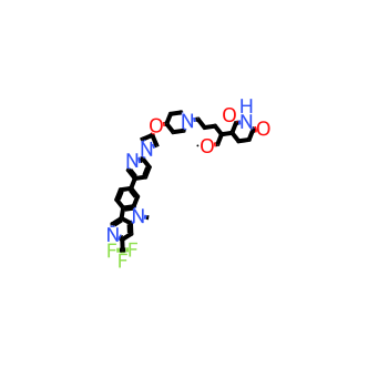 Cn1c2cc(-c3ccc(N4CC(OC5CCN(CCCC(C[O])C6CCC(=O)NC6=O)CC5)C4)nc3)ccc2c2cnc(C(F)(F)F)cc21